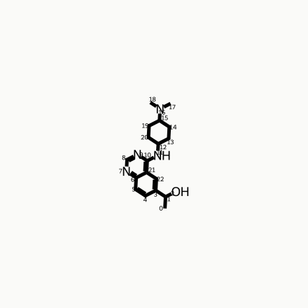 CC(O)c1ccc2ncnc(NC3CCC(N(C)C)CC3)c2c1